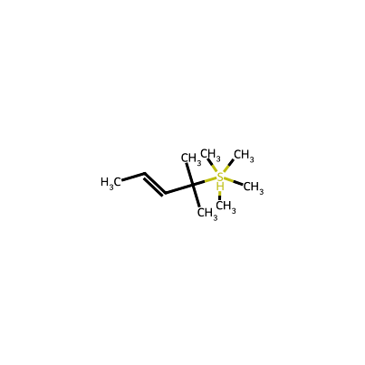 CC=CC(C)(C)[SH](C)(C)(C)C